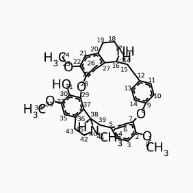 COc1ccc2cc1Oc1ccc(cc1)C[C@@H]1NCCc3cc(OC)c(cc31)Oc1c(O)c(OC)cc3c1[C@H](C2)N(C)CC3